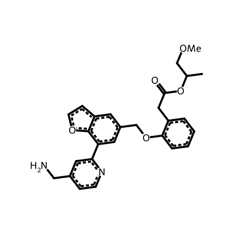 COCC(C)OC(=O)Cc1ccccc1OCc1cc(-c2cc(CN)ccn2)c2occc2c1